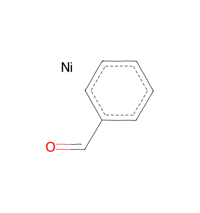 O=Cc1ccccc1.[Ni]